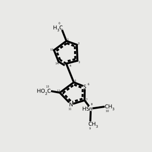 Cc1ccc(-c2s[c]([SnH]([CH3])[CH3])nc2C(=O)O)cc1